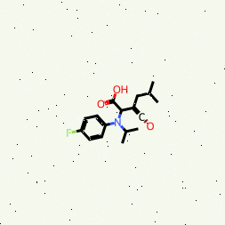 CC(C)CC(=C=O)C(C(=O)O)N(c1ccc(F)cc1)C(C)C